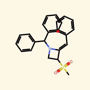 CS(=O)(=O)C1CN(C(c2ccccc2)c2ccccc2)/C1=C\c1ccccc1